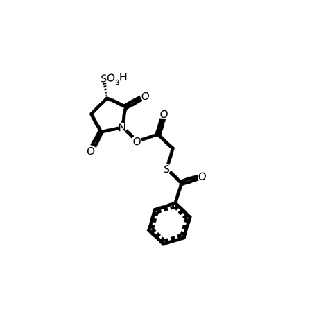 O=C(CSC(=O)c1ccccc1)ON1C(=O)C[C@H](S(=O)(=O)O)C1=O